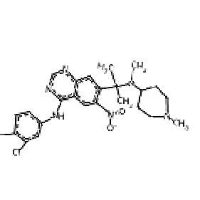 CN1CCC(N(C)C(C)(C)c2cc3ncnc(Nc4ccc(F)c(Cl)c4)c3cc2[N+](=O)[O-])CC1